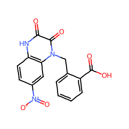 O=C(O)c1ccccc1Cn1c(=O)c(=O)[nH]c2ccc([N+](=O)[O-])cc21